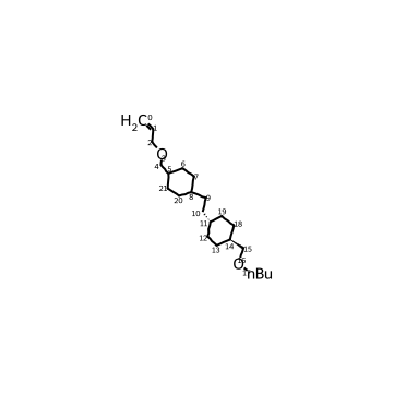 C=CCOCC1CCC(CC[C@H]2CC[C@H](COCCCC)CC2)CC1